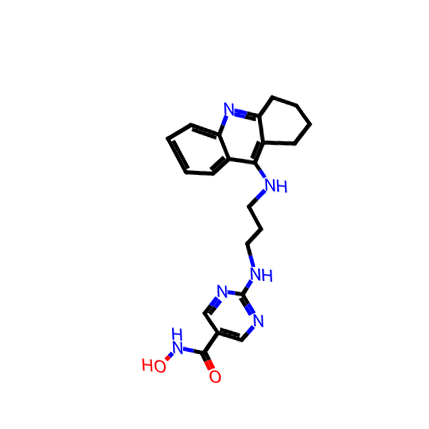 O=C(NO)c1cnc(NCCCNc2c3c(nc4ccccc24)CCCC3)nc1